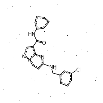 O=C(Nc1ccccc1)c1cnn2ccc(NCc3cccc(Cl)c3)nc12